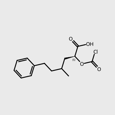 CC(CCc1ccccc1)C[C@H](OC(=O)Cl)C(=O)O